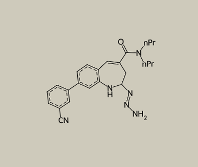 CCCN(CCC)C(=O)C1=Cc2ccc(-c3cccc(C#N)c3)cc2NC(N=NN)C1